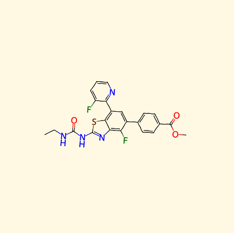 CCNC(=O)Nc1nc2c(F)c(-c3ccc(C(=O)OC)cc3)cc(-c3ncccc3F)c2s1